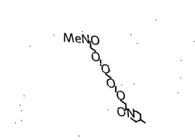 CNC(=O)CCOCCOCCOCCOCCC(=O)N1CCC(C)CC1